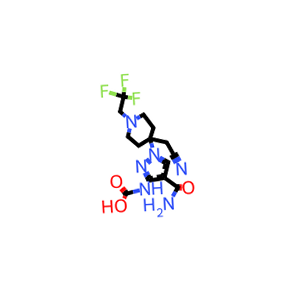 N#CCC1(n2cc(C(N)=O)c(NC(=O)O)n2)CCN(CC(F)(F)F)CC1